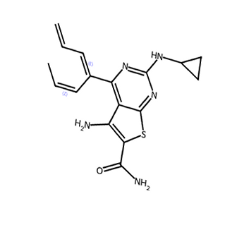 C=C/C=C(\C=C/C)c1nc(NC2CC2)nc2sc(C(N)=O)c(N)c12